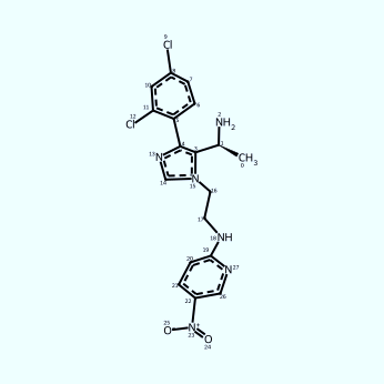 C[C@H](N)c1c(-c2ccc(Cl)cc2Cl)ncn1CCNc1ccc([N+](=O)[O-])cn1